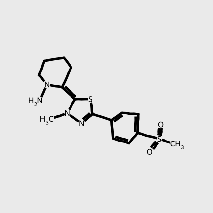 CN1N=C(c2ccc(S(C)(=O)=O)cc2)SC1=C1CCCCN1N